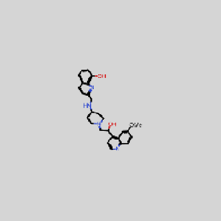 COc1ccc2nccc(C(O)CN3CCC(NCc4ccc5cccc(O)c5n4)CC3)c2c1